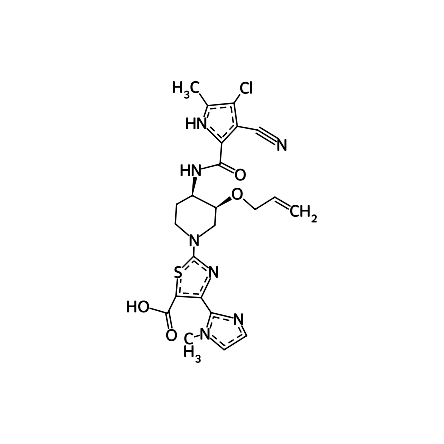 C=CCO[C@H]1CN(c2nc(-c3nccn3C)c(C(=O)O)s2)CC[C@H]1NC(=O)c1[nH]c(C)c(Cl)c1C#N